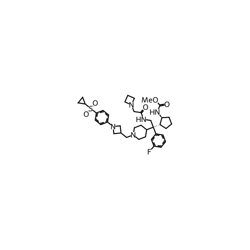 COC(=O)N[C@H]1CCC[C@@H]1C(CNC(=O)CN1CCC1)(c1cccc(F)c1)C1CCN(CC2CN(c3ccc(S(=O)(=O)C4CC4)cc3)C2)CC1